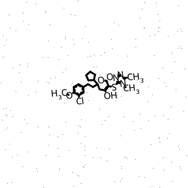 COc1ccc(CCC2(C3CCCC3)CC(O)=C(Sc3nnc(C)n3C)C(=O)O2)cc1Cl